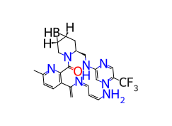 C=C(/N=C\C=C/N)c1ccc(C)nc1C(=O)N1C[C@@H]2B[C@@H]2C[C@H]1CNc1cnc(C(F)(F)F)cn1